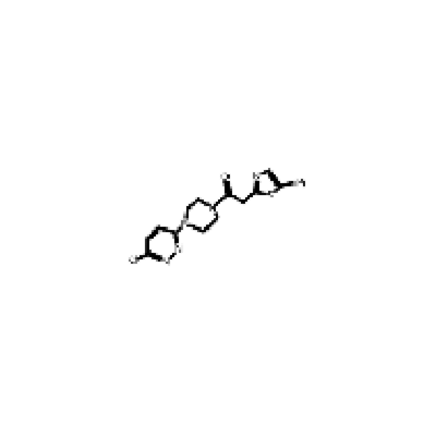 CC(C)c1cnc(CC(=O)N2CCN(c3ccc(Cl)nn3)CC2)s1